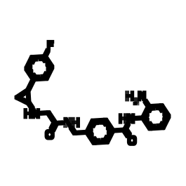 Nc1ccccc1NC(=O)c1ccc(CNC(=O)CNC2CC2c2ccc(F)cc2)cc1